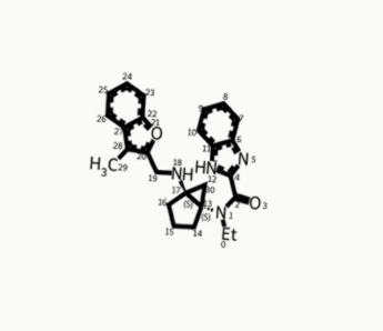 CCN(C(=O)c1nc2ccccc2[nH]1)[C@]12CCC[C@]1(NCc1oc3ccccc3c1C)C2